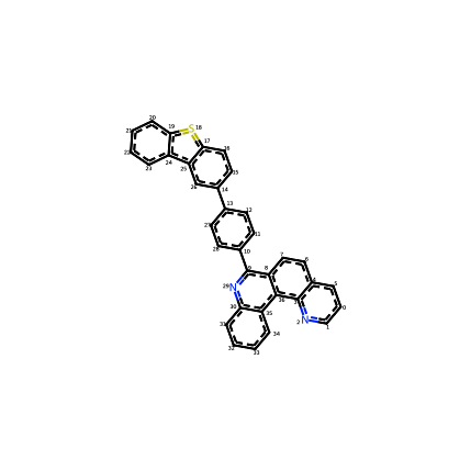 c1cnc2c(c1)ccc1c(-c3ccc(-c4ccc5sc6ccccc6c5c4)cc3)nc3ccccc3c12